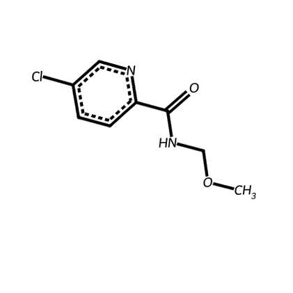 COCNC(=O)c1ccc(Cl)cn1